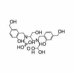 O=P(O)(O)CN(Cc1cc(CO)ccc1O)C(CO)CN(Cc1ccc(CO)cc1O)CC(O)O